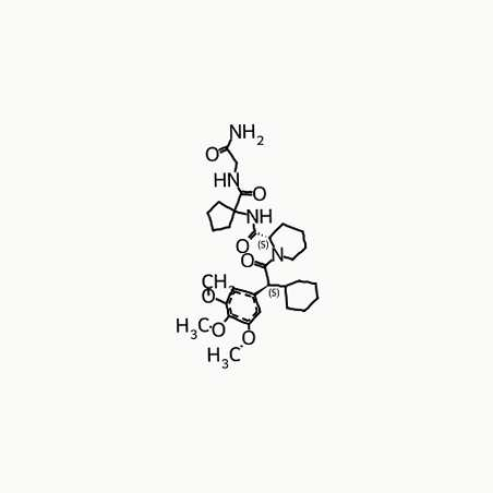 COc1cc([C@@H](C(=O)N2CCCC[C@H]2C(=O)NC2(C(=O)NCC(N)=O)CCCC2)C2CCCCC2)cc(OC)c1OC